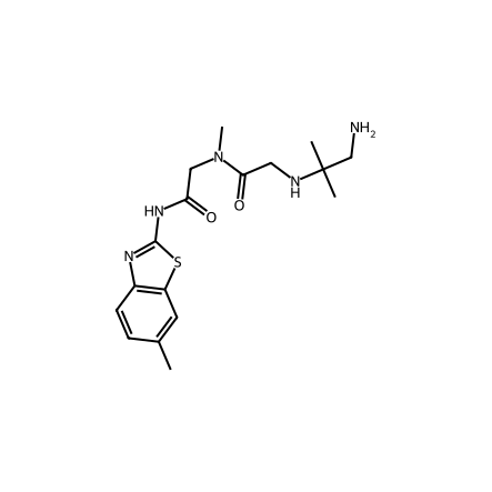 Cc1ccc2nc(NC(=O)CN(C)C(=O)CNC(C)(C)CN)sc2c1